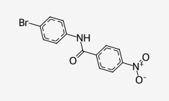 O=C(Nc1ccc(Br)cc1)c1ccc([N+](=O)[O-])cc1